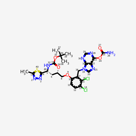 Cc1nnc([C@@H](CCCOc2ccc(Cl)c(Cl)c2Cn2cnc3c(OC(N)=O)ncnc32)NC(=O)OC(C)(C)C)s1